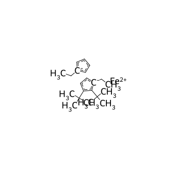 CC[c-]1ccc(C(C)(C)C)c1C(C)(C)C.CC[c-]1cccc1.[Fe+2]